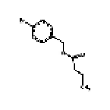 CCCC(=O)NCc1ccc(Br)cc1